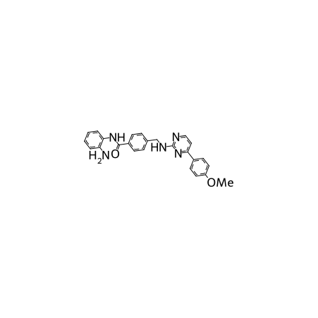 COc1ccc(-c2ccnc(NCc3ccc(C(=O)Nc4ccccc4N)cc3)n2)cc1